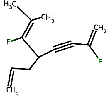 C=CCC(C#CC(=C)F)C(F)=C(C)C